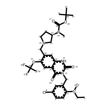 CC[S+]([O-])c1ccc(Cl)cc1Cn1c(=O)[nH]c2cc(CN3CC[C@@H](N(C)C(=O)OC(C)(C)C)C3)c(OC(F)(F)F)cc2c1=O